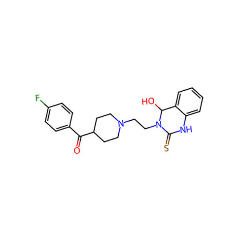 O=C(c1ccc(F)cc1)C1CCN(CCN2C(=S)Nc3ccccc3C2O)CC1